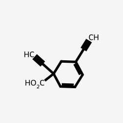 C#CC1=CC=CC(C#C)(C(=O)O)C1